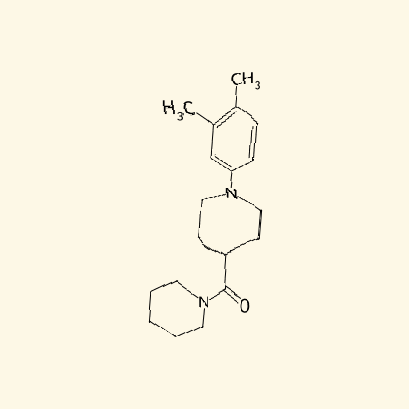 Cc1ccc(N2CCC(C(=O)N3CCCCC3)CC2)cc1C